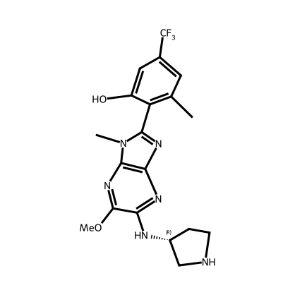 COc1nc2c(nc1N[C@@H]1CCNC1)nc(-c1c(C)cc(C(F)(F)F)cc1O)n2C